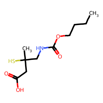 CCCCOC(=O)NCC(C)(S)CC(=O)O